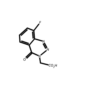 O=C(O)Cn1nnc2c(F)cccc2c1=O